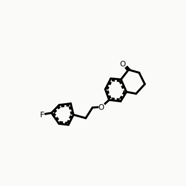 O=C1CCCc2cc(OCCc3ccc(F)cc3)ccc21